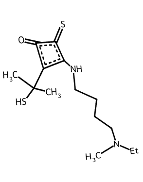 CCN(C)CCCCNc1c(C(C)(C)S)c(=O)c1=S